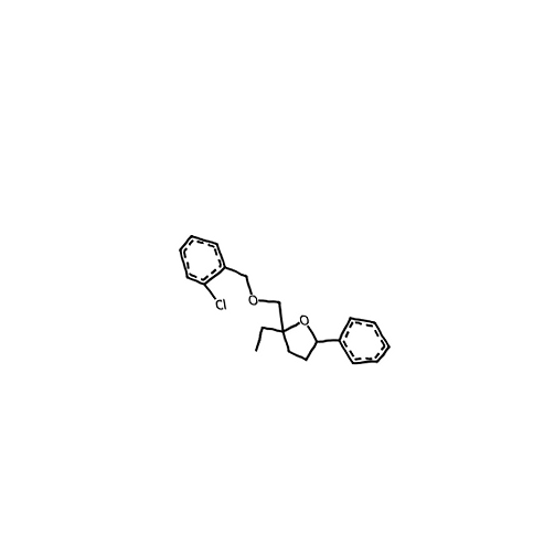 CCC1(COCc2ccccc2Cl)CCC(c2ccccc2)O1